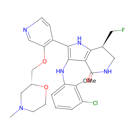 COc1c(Cl)cccc1Nc1c(-c2ccncc2OC[C@H]2CN(C)CCO2)[nH]c2c1C(=O)NC[C@@H]2CF